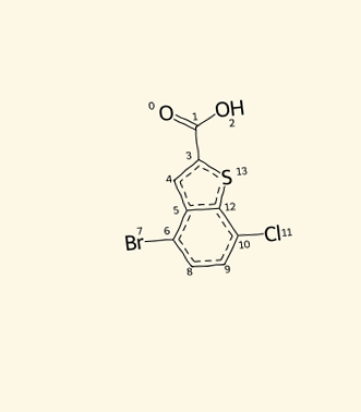 O=C(O)c1cc2c(Br)ccc(Cl)c2s1